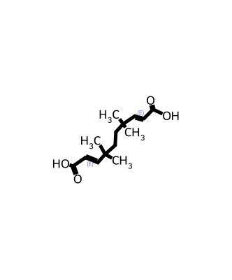 CC(C)(/C=C/C(=O)O)CCC(C)(C)/C=C/C(=O)O